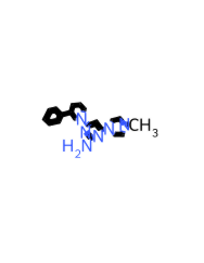 CN1CCN(c2cc(N3CCCC(c4ccccc4)C3)nc(N)n2)CC1